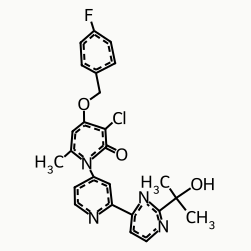 Cc1cc(OCc2ccc(F)cc2)c(Cl)c(=O)n1-c1ccnc(-c2ccnc(C(C)(C)O)n2)c1